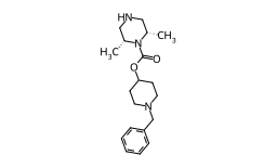 C[C@@H]1CNC[C@H](C)N1C(=O)OC1CCN(Cc2ccccc2)CC1